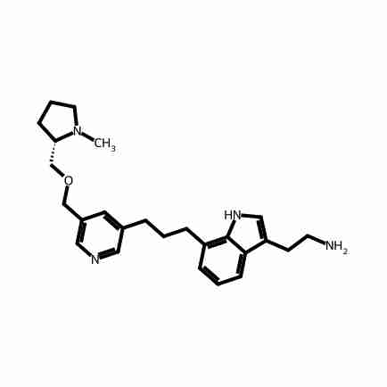 CN1CCC[C@H]1COCc1cncc(CCCc2cccc3c(CCN)c[nH]c23)c1